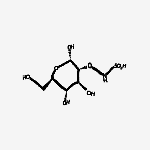 O=S(=O)(O)NO[C@@H]1[C@@H](O)[C@H](O)[C@@H](CO)O[C@@H]1O